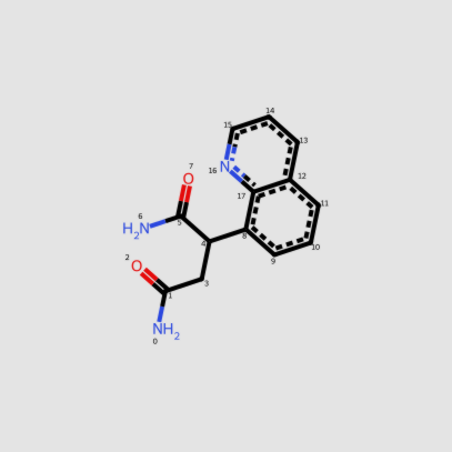 NC(=O)CC(C(N)=O)c1cccc2cccnc12